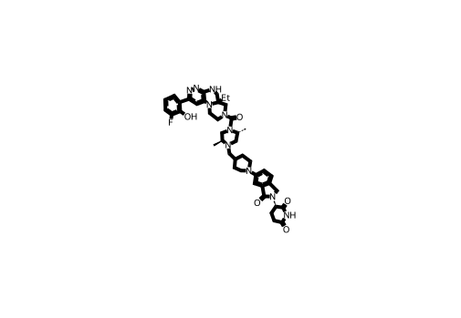 CCC12CNc3nnc(-c4cccc(F)c4O)cc3N1CCN(C(=O)N1C[C@H](C)N(CC3CCN(c4ccc5c(c4)C(=O)N([C@H]4CCC(=O)NC4=O)C5)CC3)C[C@H]1C)C2